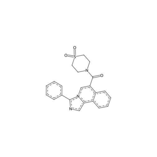 O=C(c1cn2c(-c3ccccc3)ncc2c2ccccc12)N1CCS(=O)(=O)CC1